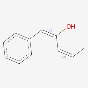 C/C=C\C(O)=C/c1ccccc1